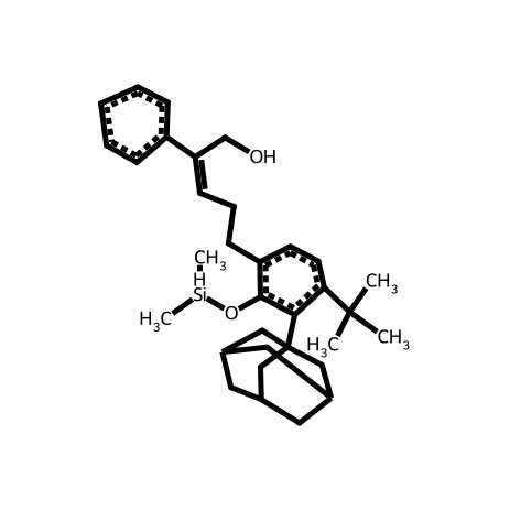 C[SiH](C)Oc1c(CCC=C(CO)c2ccccc2)ccc(C(C)(C)C)c1C12CC3CC(CC(C3)C1)C2